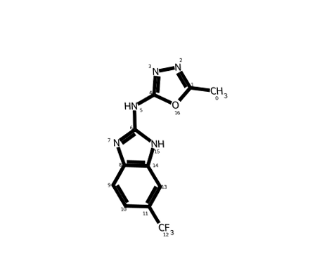 Cc1nnc(Nc2nc3ccc(C(F)(F)F)cc3[nH]2)o1